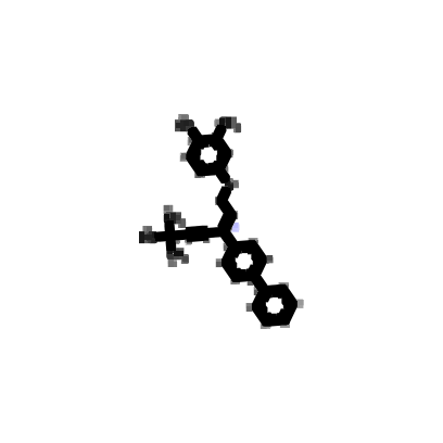 Cc1cc(SC/C=C(\C#CC(C)(C)O)c2ccc(-c3ccccc3)cc2)ccc1O